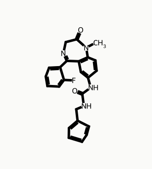 CN1C(=O)CN=C(c2ccccc2F)c2cc(NC(=O)NCc3ccccc3)ccc21